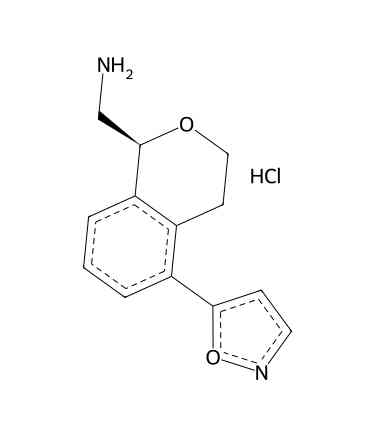 Cl.NC[C@H]1OCCc2c(-c3ccno3)cccc21